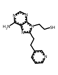 Nc1ncnc2c1nc(CCc1cccnc1)n2CCS